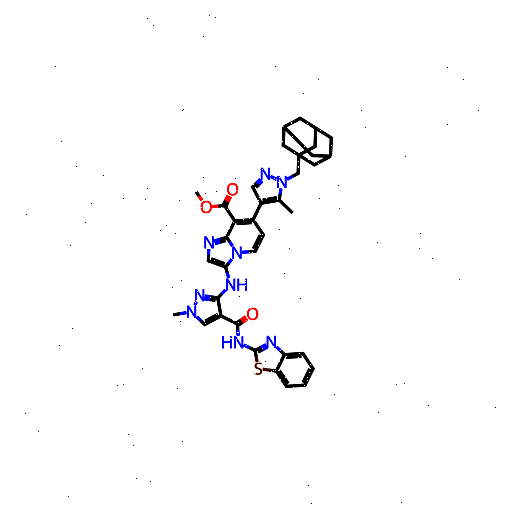 COC(=O)c1c(-c2cnn(CC34CC5CC(CC(C5)C3)C4)c2C)ccn2c(Nc3nn(C)cc3C(=O)Nc3nc4ccccc4s3)cnc12